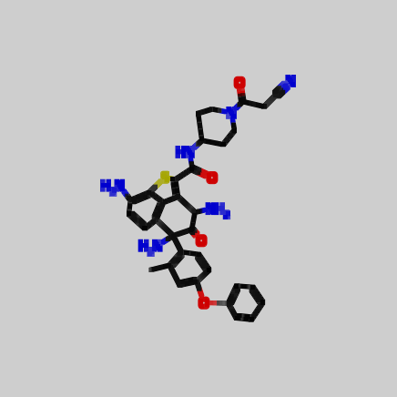 Cc1cc(Oc2ccccc2)ccc1C1(N)C(=O)C(N)c2c(C(=O)NC3CCN(C(=O)CC#N)CC3)sc3c(N)ccc1c23